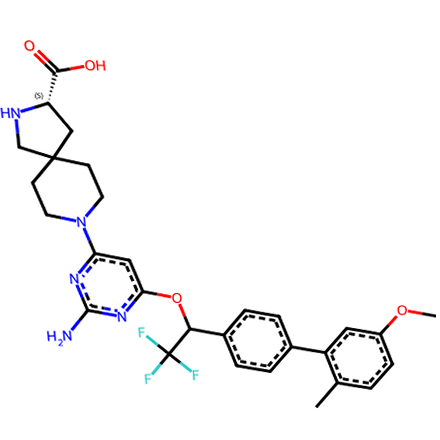 COc1ccc(C)c(-c2ccc(C(Oc3cc(N4CCC5(CC4)CN[C@H](C(=O)O)C5)nc(N)n3)C(F)(F)F)cc2)c1